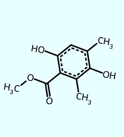 COC(=O)c1c(O)cc(C)c(O)c1C